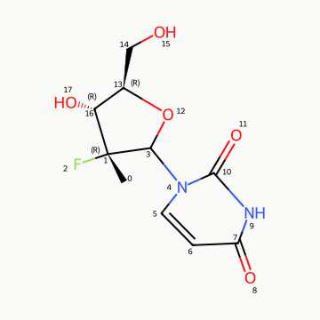 C[C@]1(F)C(n2ccc(=O)[nH]c2=O)O[C@H](CO)[C@H]1O